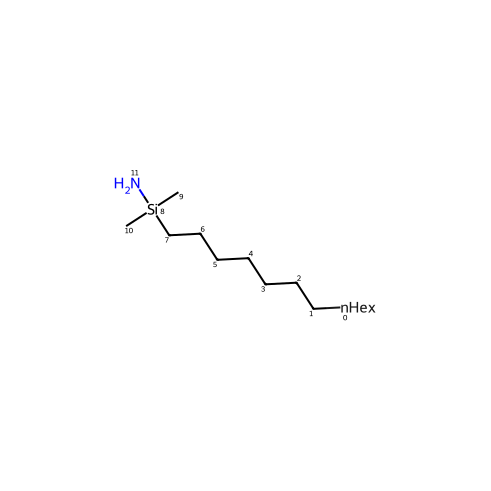 CCCCCCCCCCCCC[Si](C)(C)N